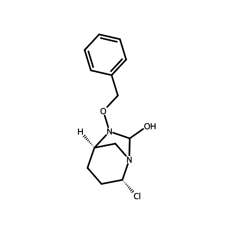 OC1N2C[C@@H](CC[C@H]2Cl)N1OCc1ccccc1